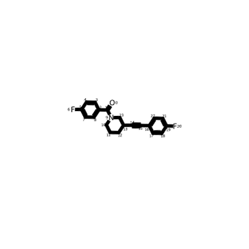 O=C(c1ccc(F)cc1)N1CCCC(C#Cc2ccc(F)cc2)C1